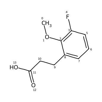 COc1c(F)cccc1CCC(=O)O